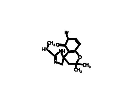 CNC1=NCC2(CC(C)(C)OC3=C2C(=O)C(Br)C=C3)N1